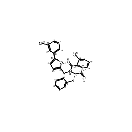 O=C(O)[C@H](Cc1ccccc1)N(Cc1ccc(-c2cccc(Cl)c2)o1)C(=O)c1ccccc1Cl